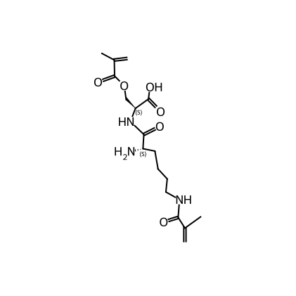 C=C(C)C(=O)NCCCC[C@H](N)C(=O)N[C@@H](COC(=O)C(=C)C)C(=O)O